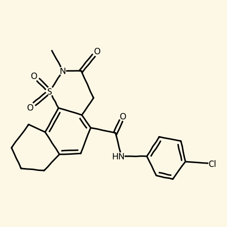 CN1C(=O)Cc2c(C(=O)Nc3ccc(Cl)cc3)cc3c(c2S1(=O)=O)CCCC3